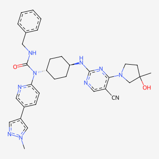 Cn1cc(-c2ccc(N(C(=O)NCc3ccccc3)[C@H]3CC[C@H](Nc4ncc(C#N)c(N5CCC(C)(O)C5)n4)CC3)nc2)cn1